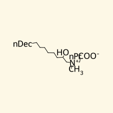 CCCCCCCCCCCCCCCCC(O)C[N+](C)(CCC)CC(=O)[O-]